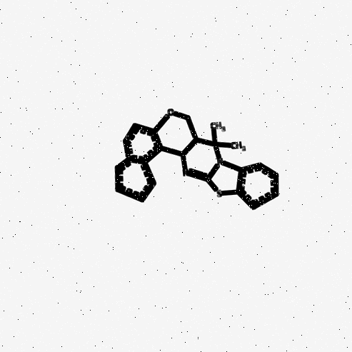 CC1(C)C2COc3ccc4ccccc4c3C2N=C2Sc3ccccc3N21